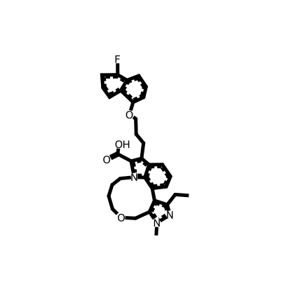 CCc1nn(C)c2c1-c1cccc3c(CCCOc4cccc5c(F)cccc45)c(C(=O)O)n(c13)CCCCOC2